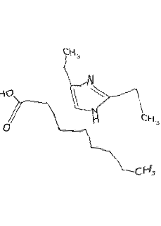 CCCCCCCC(=O)O.CCc1c[nH]c(CC)n1